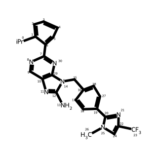 CC(C)c1ccccc1-c1ncc2nc(N)n(Cc3ccc(-c4nc(C(F)(F)F)cn4C)cc3)c2n1